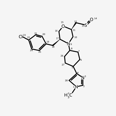 Cn1cnc(C2CCC(N3C[C@H](C[S+]=O)OC[C@@H]3Cc3ccc(Cl)cc3)CC2)c1